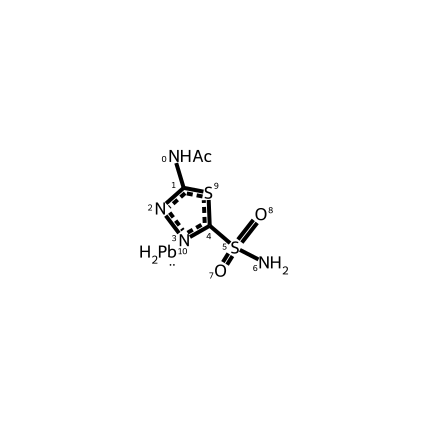 CC(=O)Nc1nnc(S(N)(=O)=O)s1.[PbH2]